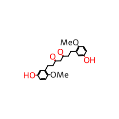 COc1ccc(O)cc1CCC(=O)CC(=O)CCc1cc(O)ccc1OC